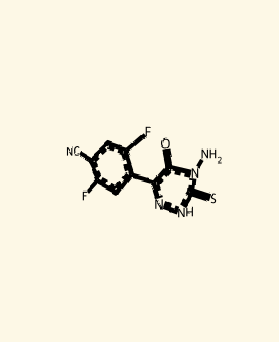 N#Cc1cc(F)c(-c2n[nH]c(=S)n(N)c2=O)cc1F